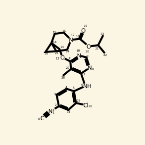 [C-]#[N+]c1ccc(Nc2ncnc(OCC34CCN(C(=O)OC(C)C)CC3C4)c2C)c(Cl)c1